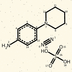 N#N.Nc1ccc(N2CCCCC2)cc1.O=S(=O)(O)O